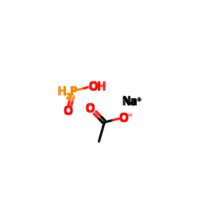 CC(=O)[O-].O=[PH2]O.[Na+]